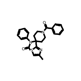 CC(=O)N(c1ccccc1)C1(c2nc(C)cs2)CCN(C(=O)c2ccccc2)CC1